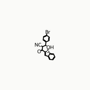 N#CC(C(=O)c1cc2ccccc2s1)C(O)c1ccc(Br)cc1